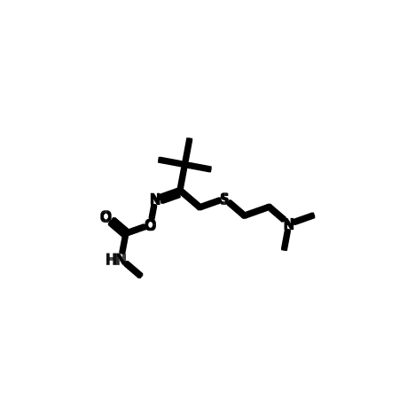 CNC(=O)ON=C(CSCCN(C)C)C(C)(C)C